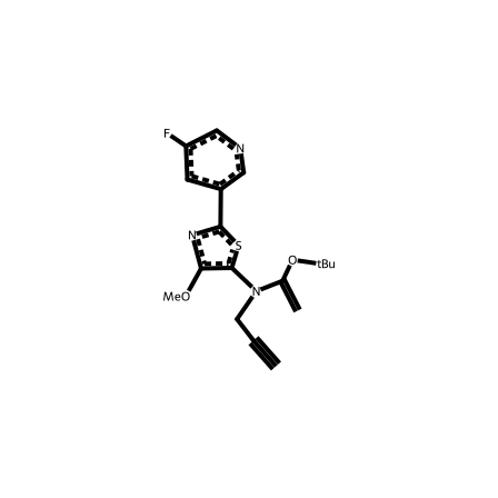 C#CCN(C(=C)OC(C)(C)C)c1sc(-c2cncc(F)c2)nc1OC